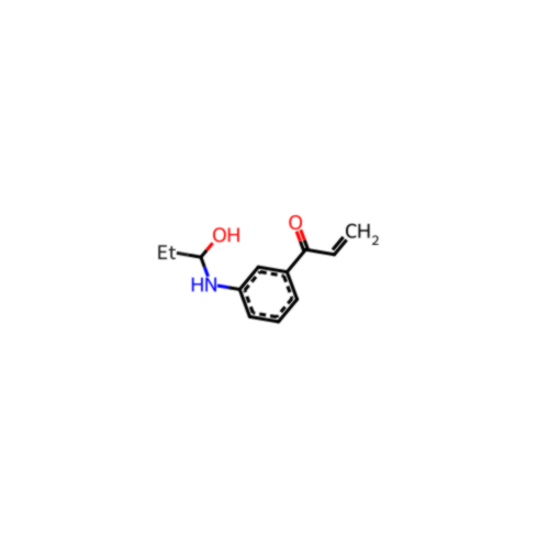 C=CC(=O)c1cccc(NC(O)CC)c1